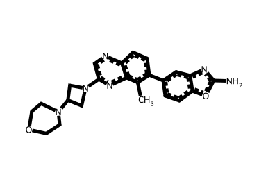 Cc1c(-c2ccc3oc(N)nc3c2)ccc2ncc(N3CC(N4CCOCC4)C3)nc12